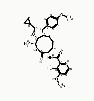 COc1ccc(C[C@H]2CCC[C@H](NC(=O)c3nccc(OC)c3O)C(=O)O[C@@H](C)[C@@H]2OCC2CC2)cc1